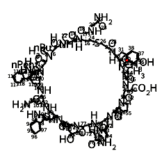 CCCCC[C@H]1C(=O)N(C)[C@@H](CCCC)C(=O)N[C@@H](C)C(=O)N[C@H](C(=O)NCC(N)=O)CSCC(=O)N[C@@H](Cc2ccc(O)cc2)C(=O)N(C)[C@@H](C)C(=O)N[C@@H](CC(=O)O)C(=O)N2CCC[C@H]2C(=O)N[C@@H](Cc2cnc[nH]2)C(=O)N[C@@H](CCC(N)=O)C(=O)N2C[C@H](O)C[C@H]2C(=O)N[C@@H](Cc2c[nH]c3ccccc23)C(=O)N[C@@H](CCN)C(=O)N[C@@H](Cc2c[nH]c3ccccc23)C(=O)N1C